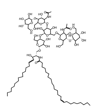 CCCCCCCC/C=C\CCCCCCCCCCCCCC(=O)N[C@@H](CO[C@@H]1OC(CO)[C@@H](O[C@@H]2OC(CO[C@@H]3OC(CO)[C@@H](O[C@@H]4OC(CO)[C@H](O)[C@H](O)C4O)[C@H](O)C3NC(C)=O)[C@H](O)[C@H](O[C@@H]3OC(CO)[C@@H](O[C@@H]4OC(CO)[C@H](O)[C@H](O)C4O)[C@H](O)C3NC(C)=O)C2O)[C@H](O)C1O)[C@H](O)/C=C/CCCCCCCCCCCCC